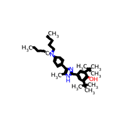 CCCCCN(CCCCC)c1ccc(-c2nc(-c3cc(C(C)(C)C)c(O)c(C(C)(C)C)c3)[nH]c2C)cc1